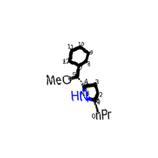 CCC[C@@H]1CC[C@@H](C(OC)C2CCCCC2)N1